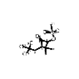 CC1(C)C(CC(Cl)(Cl)Cl)C(=O)C1OS(C)(=O)=O